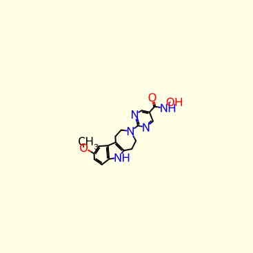 COc1ccc2[nH]c3c(c2c1)CCN(c1ncc(C(=O)NO)cn1)CC3